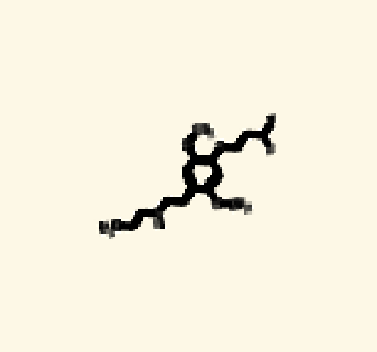 CCCNCCc1cc(OC)c(SCCC(F)F)cc1OC